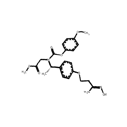 COC(=O)CN(C(=O)Oc1ccc(OC)cc1)[C@@H](C)c1ccc(OCC/C(N)=N/O)cc1